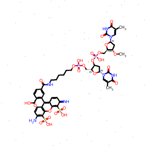 CO[C@@H]1C[C@H](n2cc(C)c(=O)[nH]c2=O)O[C@@H]1COP(=O)(O)OC1C[C@H](n2cc(C)c(=O)[nH]c2=O)O[C@@H]1COP(=O)(O)OCCCCCCNC(=O)c1ccc(C(=O)O)c(-c2c3ccc(=N)c(S(=O)(=O)O)c-3oc3c(S(=O)(=O)O)c(N)ccc23)c1